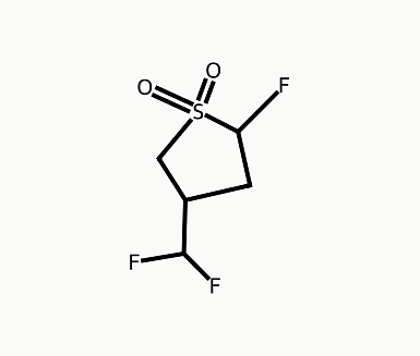 O=S1(=O)CC(C(F)F)CC1F